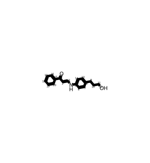 O=C(C=CNc1ccc(CCCO)cc1)c1ccccc1